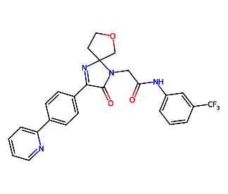 O=C(CN1C(=O)C(c2ccc(-c3ccccn3)cc2)=NC12CCOC2)Nc1cccc(C(F)(F)F)c1